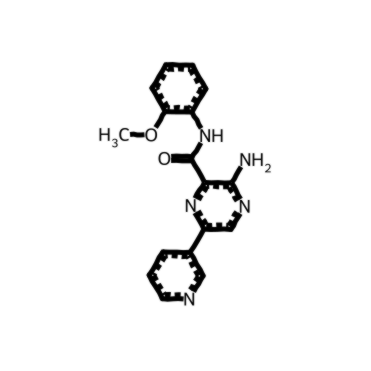 COc1ccccc1NC(=O)c1nc(-c2cccnc2)cnc1N